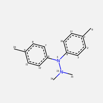 Cc1ccc(N(c2ccc(C)cc2)N(C)C)cc1